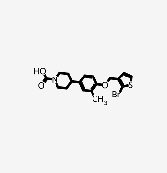 Cc1cc(C2CCN(C(=O)O)CC2)ccc1OCc1ccsc1Br